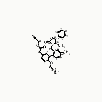 [C-]#[N+]COc1ccc(CC(=O)OCC#N)cc1-c1ccc(C)cc1CN1C(=O)O[C@H](c2ccccc2)[C@@H]1C